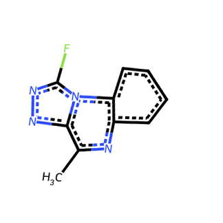 Cc1nc2ccccc2n2c(F)nnc12